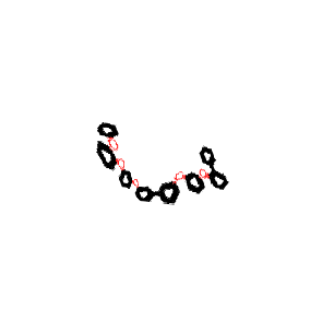 c1ccc(Oc2ccccc2Oc2cccc(Oc3cccc(-c4cccc(Oc5cccc(Oc6ccccc6-c6ccccc6)c5)c4)c3)c2)cc1